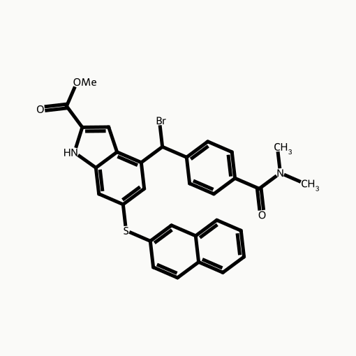 COC(=O)c1cc2c(C(Br)c3ccc(C(=O)N(C)C)cc3)cc(Sc3ccc4ccccc4c3)cc2[nH]1